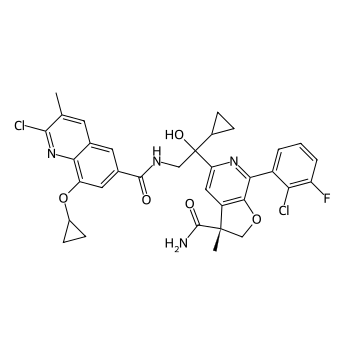 Cc1cc2cc(C(=O)NCC(O)(c3cc4c(c(-c5cccc(F)c5Cl)n3)OC[C@]4(C)C(N)=O)C3CC3)cc(OC3CC3)c2nc1Cl